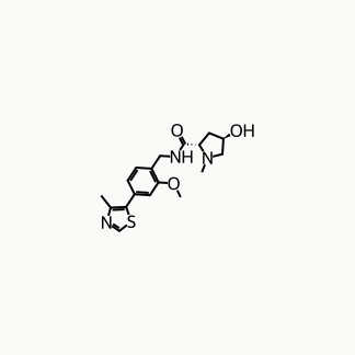 COc1cc(-c2scnc2C)ccc1CNC(=O)[C@@H]1C[C@@H](O)CN1C